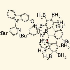 Bc1c(B)c(B)c(-c2c(C(C)(C)C)cc(C(C)(C)C)c(-c3c(B)c(B)c(B)c(B)c3B)c2C2CN(c3cc(Oc4ccc5c6ccccc6n(-c6cc(C(C)(C)C)ccn6)c5c4)cc(C(C)(C)C)c3)c3ccccc32)c(B)c1B